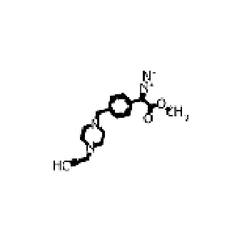 C#CCN1CCN(Cc2ccc(C(=[N+]=[N-])C(=O)OC)cc2)CC1